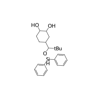 CC(C)(C)C(O[SiH](c1ccccc1)c1ccccc1)C1CCC(O)C(O)C1